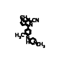 Cc1cc(-c2nc(C#N)nc3c2ccn3C)ccc1NC1CCN(C)CC1